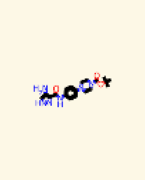 CC(C)(C)OC(=O)N1CCN(c2ccc(NC(=O)c3n[nH]cc3N)cc2)CC1